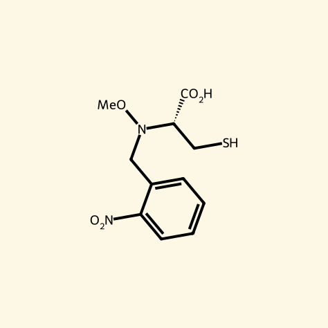 CON(Cc1ccccc1[N+](=O)[O-])[C@@H](CS)C(=O)O